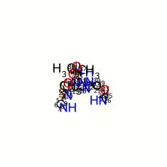 Cc1sc(C2CCCNC2)nc1-c1cc2cnc(Nc3ccc(OC4CCNC4)cc3)nc2n(CCN(C)S(C)(=O)=O)c1=O